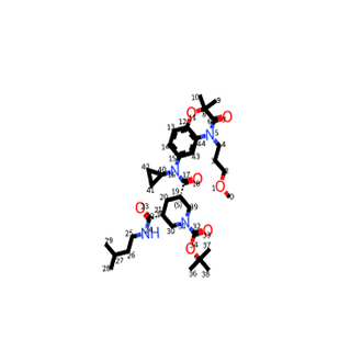 COCCCN1C(=O)C(C)(C)Oc2ccc(N(C(=O)[C@H]3C[C@@H](C(=O)NCCC(C)C)CN(C(=O)OC(C)(C)C)C3)C3CC3)cc21